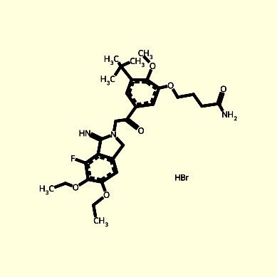 Br.CCOc1cc2c(c(F)c1OCC)C(=N)N(CC(=O)c1cc(OCCCC(N)=O)c(OC)c(C(C)(C)C)c1)C2